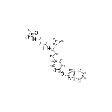 CS(=O)(=O)NCCCNC(CCc1ccc(Oc2nc3ccccc3s2)cc1)C1CC1